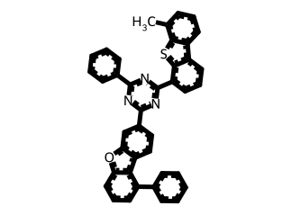 Cc1cccc2c1sc1c(-c3nc(-c4ccccc4)nc(-c4ccc5c(c4)oc4cccc(-c6ccccc6)c45)n3)cccc12